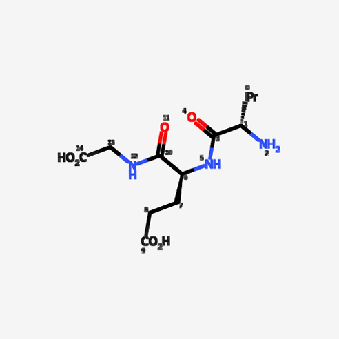 CC(C)[C@H](N)C(=O)N[C@@H](CCC(=O)O)C(=O)NCC(=O)O